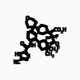 CC1(C)CC=C(c2cc(C3(N4CCN(C(C(=O)O)C(F)(F)C(=O)OF)CC4)CCOCC3)ccc2NC(=O)c2ncc(C#N)[nH]2)CC1